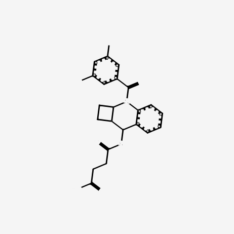 O=C(O)CCC(=O)NC1c2ccccc2N(C(=O)c2cc(F)cc(F)c2)C2CCC12